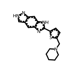 c1cc(-c2nc3cc4c[nH]nc4cc3[nH]2)sc1CN1CCCCC1